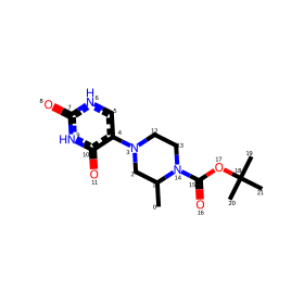 CC1CN(c2c[nH]c(=O)[nH]c2=O)CCN1C(=O)OC(C)(C)C